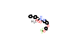 COC(=O)[C@H](Cc1ccc(-c2ccccc2)cc1)NC(=O)c1cc2cc(Oc3ccc(OC(F)(F)F)cc3)ccc2cn1